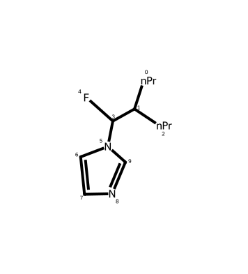 CCCC(CCC)C(F)n1ccnc1